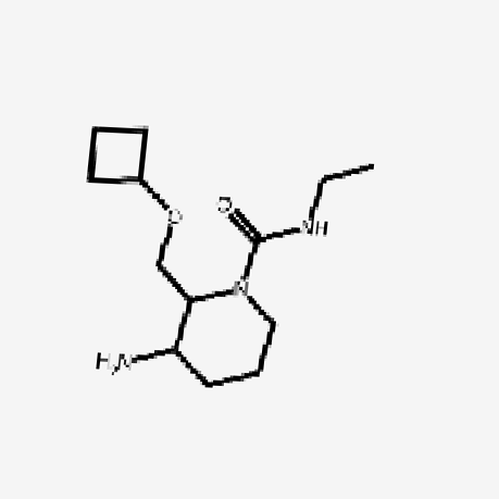 CCNC(=O)N1CCCC(N)C1COC1CCC1